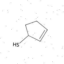 SC1C=CCC1